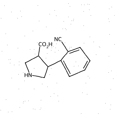 N#Cc1ccccc1C1CNCC1C(=O)O